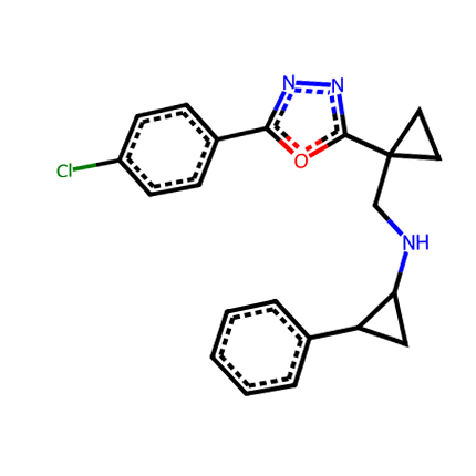 Clc1ccc(-c2nnc(C3(CNC4CC4c4ccccc4)CC3)o2)cc1